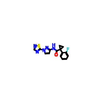 O=C(Nc1ccn(-c2ncns2)n1)C1(c2ccccc2F)CC1